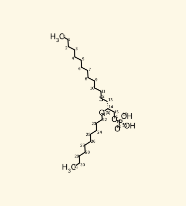 CCCCCCCCCCCCSC[C@H](COP(=O)(O)O)OCCCCCCCCCC